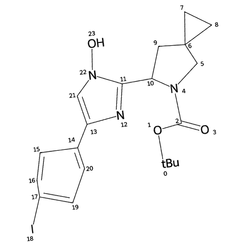 CC(C)(C)OC(=O)N1CC2(CC2)CC1c1nc(-c2ccc(I)cc2)cn1O